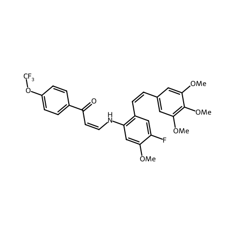 COc1cc(N/C=C\C(=O)c2ccc(OC(F)(F)F)cc2)c(/C=C\c2cc(OC)c(OC)c(OC)c2)cc1F